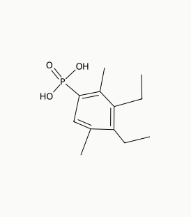 CCc1c(C)cc(P(=O)(O)O)c(C)c1CC